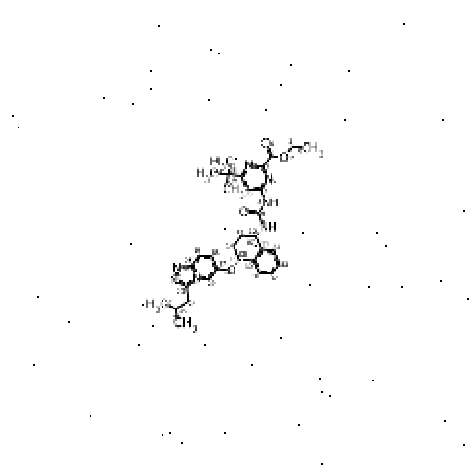 CCOC(=O)c1nc(NC(=O)N[C@H]2CC[C@@H](Oc3ccc4nnc(CC(C)C)n4c3)c3ccccc32)cc(C(C)(C)C)n1